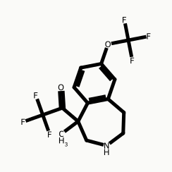 CC1(C(=O)C(F)(F)F)CNCCc2cc(OC(F)(F)F)ccc21